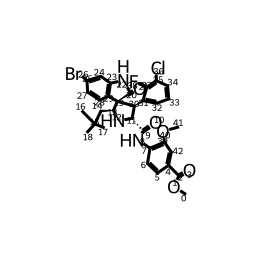 COC(=O)c1ccc(NC(=O)[C@@H]2N[C@@H](CC(C)(C)C)[C@@]3(C(=O)Nc4cc(Br)ccc43)[C@H]2c2cccc(Cl)c2F)c(OC)c1